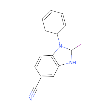 N#Cc1ccc2c(c1)NC(I)N2C1C=CC=CC1